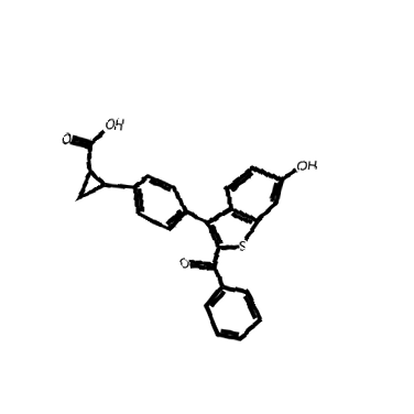 O=C(c1ccccc1)c1sc2cc(O)ccc2c1-c1ccc(C2CC2C(=O)O)cc1